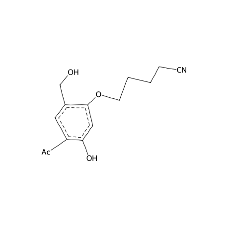 CC(=O)c1cc(CO)c(OCCCCC#N)cc1O